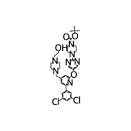 CC(C)(C)OC(=O)N1CCN(c2ncc(Oc3cc(CN4CCN(CCO)CC4)cc(-c4cc(Cl)cc(Cl)c4)n3)cn2)CC1